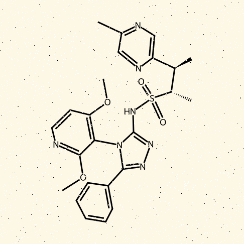 COc1ccnc(OC)c1-n1c(NS(=O)(=O)[C@@H](C)[C@H](C)c2cnc(C)cn2)nnc1-c1ccccc1